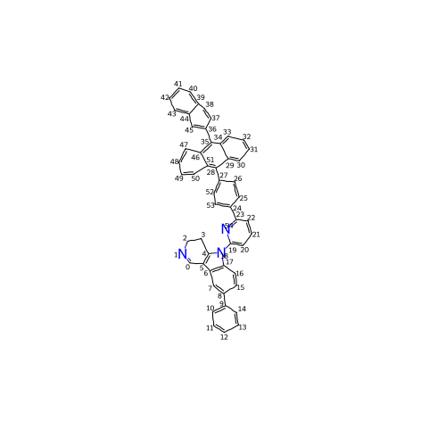 C1=NCCc2c1c1cc(-c3ccccc3)ccc1n2-c1cccc(-c2ccc(-c3c4ccccc4c(-c4ccc5ccccc5c4)c4ccccc34)cc2)n1